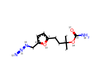 CC(C)(CCc1ccc(CN=[N+]=[N-])o1)OC(N)=O